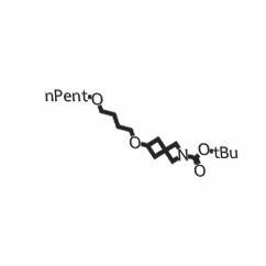 CCCCCOCCCCOC1CC2(C1)CN(C(=O)OC(C)(C)C)C2